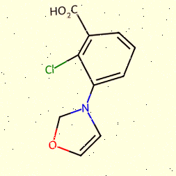 O=C(O)c1cccc(N2C=COC2)c1Cl